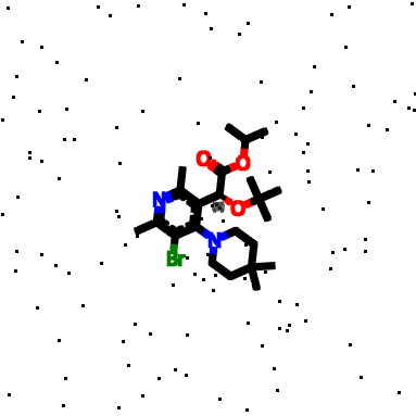 Cc1nc(C)c([C@H](OC(C)(C)C)C(=O)OC(C)C)c(N2CCC(C)(C)CC2)c1Br